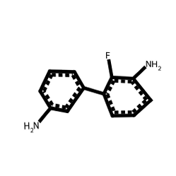 Nc1cccc(-c2cccc(N)c2F)c1